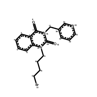 O=c1c2ccccc2n(CCCCBr)c(=O)n1Cc1cccnc1